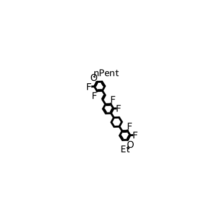 CCCCCOc1ccc(/C=C/c2ccc(C3CCC(c4ccc(OCC)c(F)c4F)CC3)c(F)c2F)c(F)c1F